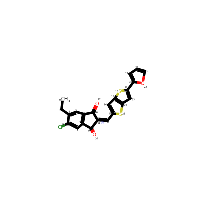 CCc1cc2c(cc1Cl)C(=O)/C(=C/c1cc3sc(-c4ccco4)cc3s1)C2=O